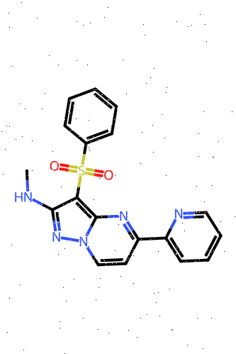 CNc1nn2ccc(-c3ccccn3)nc2c1S(=O)(=O)c1ccccc1